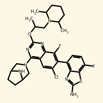 CC(CN1C(C)CCCC1C)Oc1nc(N2CC3CCC(C2)N3)c2cc(Cl)c(-c3ccc(F)c4sc(N)nc34)c(F)c2n1